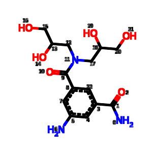 NC(=O)c1cc(N)cc(C(=O)N(CC(O)CO)CC(O)CO)c1